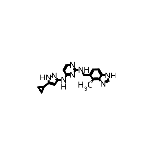 Cc1c(CNc2nccc(Nc3cc(C4CC4)[nH]n3)n2)ccc2[nH]cnc12